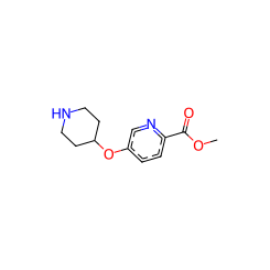 COC(=O)c1ccc(OC2CCNCC2)cn1